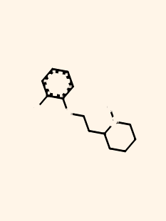 CN1CCCCC1CCOc1ccccc1Br